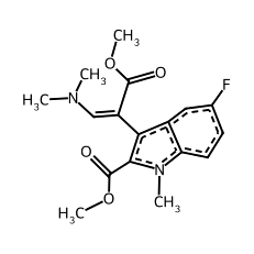 COC(=O)C(=CN(C)C)c1c(C(=O)OC)n(C)c2ccc(F)cc12